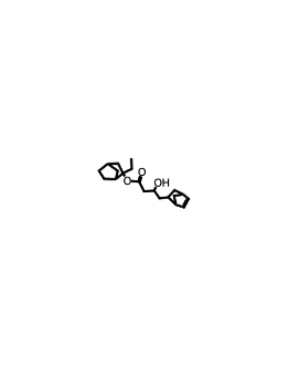 CCC1(OC(=O)CC(O)CC2CC3C=CC2C3)CC2CCC1C2